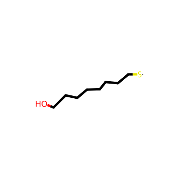 OCCCCCCCC[S]